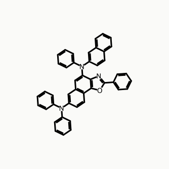 c1ccc(-c2nc3c(N(c4ccccc4)c4ccc5ccccc5c4)cc4cc(N(c5ccccc5)c5ccccc5)ccc4c3o2)cc1